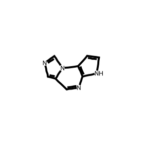 c1cc2c(ncc3cncn32)[nH]1